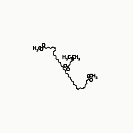 COC(=O)CCC/C=C\C/C=C\CCCCCCCCC(CCCCCCCC/C=C\C/C=C\CCCC(=O)OC)OC(=O)CCCN(C)C